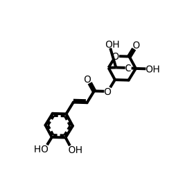 O=C(/C=C/c1ccc(O)c(O)c1)OC1CC2(O)CC(O)C1OC2=O